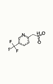 O=[SH](=O)Cc1ccc(C(F)(F)F)cn1